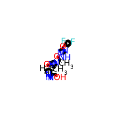 C[C@@H](C(=O)Nc1cnc(Oc2ccc(F)cc2F)cn1)N1CCN(C(=O)[C@H]2CCn3nnc(CO)c3C2)C(C)(C)C1